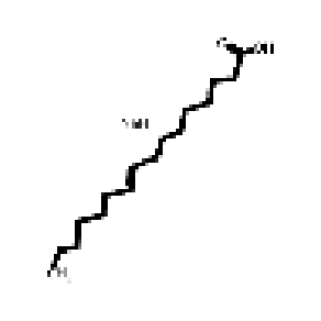 CCCCCCC=CCCCCCCCC(=O)O.[NaH]